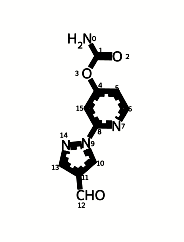 NC(=O)Oc1ccnc(-n2cc(C=O)cn2)c1